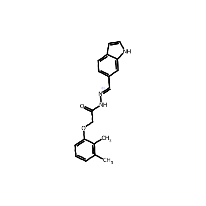 Cc1cccc(OCC(=O)N/N=C/c2ccc3cc[nH]c3c2)c1C